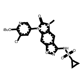 CC(C)COc1ncc(-n2c(=O)n(C)c3cc4c(NS(=O)(=O)C5CC5)noc4cc32)cc1Cl